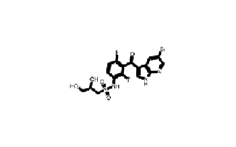 O=C(c1c(F)ccc(NS(=O)(=O)CC(O)CO)c1F)c1c[nH]c2ncc(Br)cc12